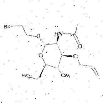 C=CCO[C@H]1[C@H](O)[C@@H](CO)O[C@H](OCCBr)[C@H]1NC(C)=O